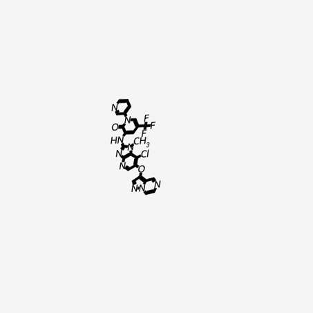 Cn1c(Nc2cc(C(F)(F)F)cn(-c3cccnc3)c2=O)nc2ncc(Oc3cnn4ccncc34)c(Cl)c21